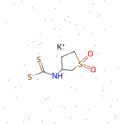 O=S1(=O)CCC(NC(=S)[S-])C1.[K+]